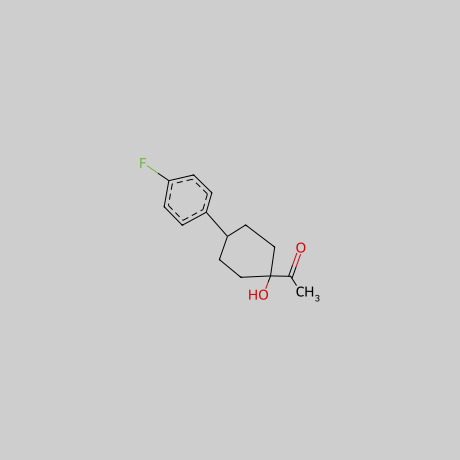 CC(=O)C1(O)CCC(c2ccc(F)cc2)CC1